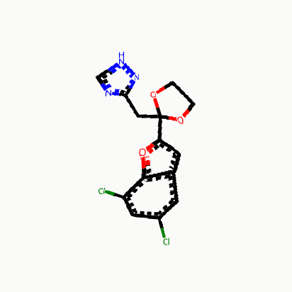 Clc1cc(Cl)c2oc(C3(Cc4nc[nH]n4)OCCO3)cc2c1